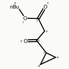 CCCCOC(=O)CC(=O)C1CC1